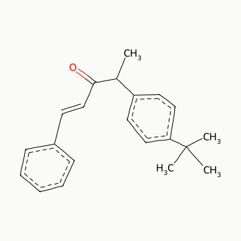 CC(C(=O)/C=C/c1ccccc1)c1ccc(C(C)(C)C)cc1